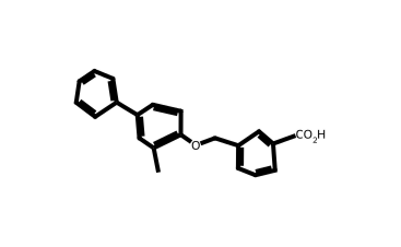 Cc1cc(-c2ccccc2)ccc1OCc1cccc(C(=O)O)c1